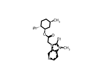 CCc1n(CC(=O)O[C@@H]2C[C@H](C)CC[C@H]2C(C)C)c2cnccc2[n+]1C